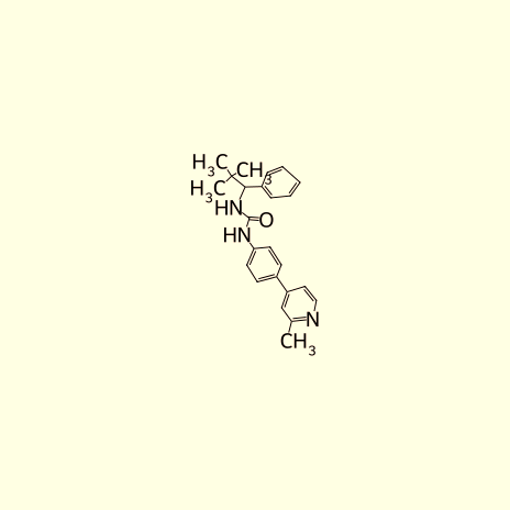 Cc1cc(-c2ccc(NC(=O)NC(c3ccccc3)C(C)(C)C)cc2)ccn1